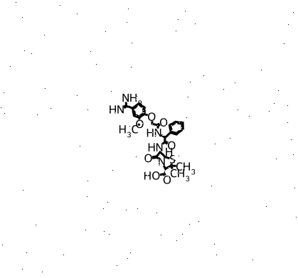 COc1cc(C(=N)N)ccc1OCC(=O)NC(C(=O)N[C@@H]1C(=O)N2[C@@H]1SC(C)(C)[C@@H]2C(=O)O)c1ccccc1